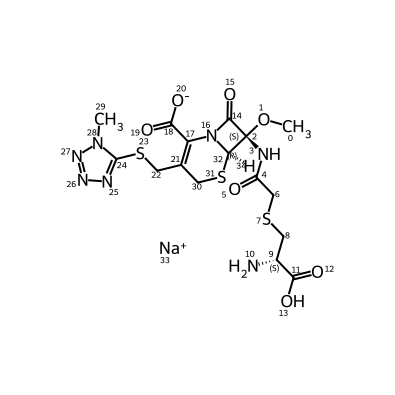 CO[C@@]1(NC(=O)CSC[C@@H](N)C(=O)O)C(=O)N2C(C(=O)[O-])=C(CSc3nnnn3C)CS[C@@H]21.[Na+]